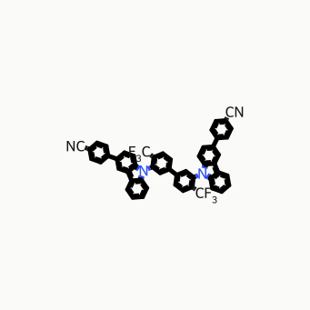 N#Cc1ccc(-c2ccc3c(c2)c2ccccc2n3-c2cc(-c3ccc(C(F)(F)F)c(-n4c5ccccc5c5cc(-c6ccc(C#N)cc6)ccc54)c3)ccc2C(F)(F)F)cc1